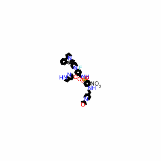 CC(C)c1ccccc1C1CCCN1C1CC2(CCN(c3cc(Oc4cnc5[nH]ccc5c4)c(C(=O)NS(=O)(=O)c4ccc(NCCC5CCN(C6COC6)CC5)c([N+](=O)[O-])c4)cc3F)CC2)C1